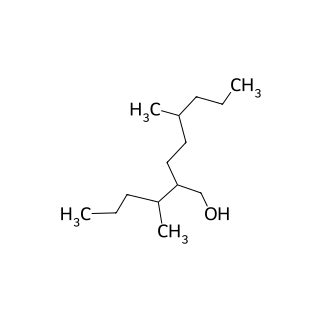 CCCC(C)CCC(CO)C(C)CCC